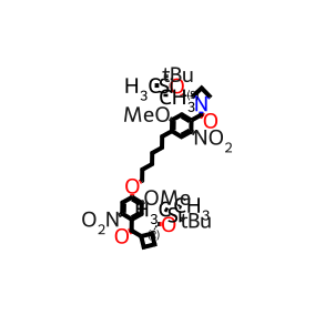 COc1cc(C(=O)N2CC[C@H]2CO[Si](C)(C)C(C)(C)C)c([N+](=O)[O-])cc1CCCCCCOc1cc([N+](=O)[O-])c(C(=O)C2CC[C@H]2CO[Si](C)(C)C(C)(C)C)cc1OC